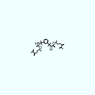 C=C(NC(C)(C)c1cccc(C(C)(C)NC(=C)OC(C)CCC(=C)C(=C)C)c1)OC(C)CCC(=C)C(=C)C